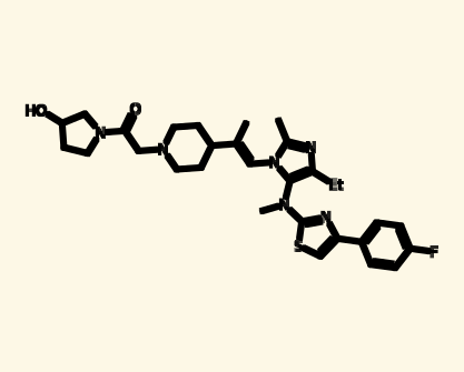 CCc1nc(C)n(/C=C(\C)C2CCN(CC(=O)N3CCC(O)C3)CC2)c1N(C)c1nc(-c2ccc(F)cc2)cs1